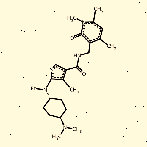 CCN(c1scc(C(=O)NCc2c(C)cc(C)n(C)c2=O)c1C)[C@H]1CC[C@H](N(C)C)CC1